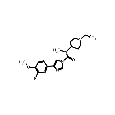 CCN1CCC(N(C)C(=O)n2cnc(-c3ccc(OC)c(F)c3)c2)CC1